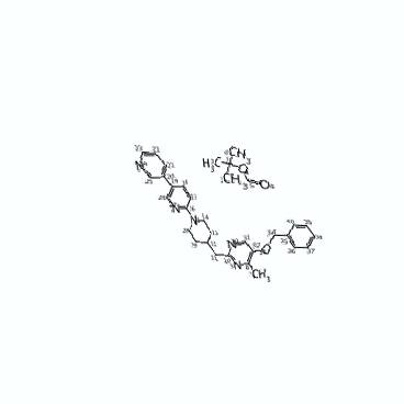 CC(C)(C)OC=O.Cc1nc(CC2CCN(c3ccc(-c4cccnc4)cn3)CC2)ncc1OCc1ccccc1